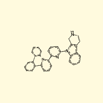 C1=Cc2c(n(-c3cccc(-c4cccc(-c5ccccc5-c5ccccn5)n4)n3)c3ccccc23)CN1